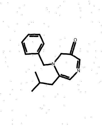 CC(C)CC1=CN=CC(=O)CN1Cc1ccccc1